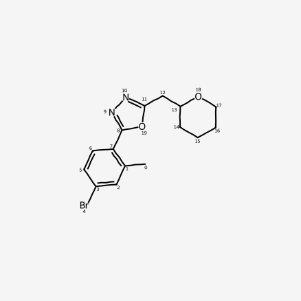 Cc1cc(Br)ccc1-c1nnc(CC2CCCCO2)o1